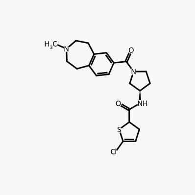 CN1CCc2ccc(C(=O)N3CC[C@@H](NC(=O)C4CC=C(Cl)S4)C3)cc2CC1